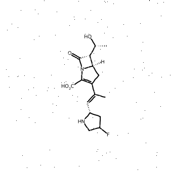 C/C(=C\[C@@H]1CC(F)CN1)C1=C(C(=O)O)N2C(=O)[C@H]([C@@H](C)O)[C@H]2C1